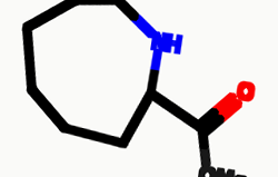 COC(=O)C1CCCCCCN1